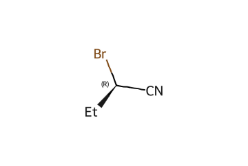 CC[C@@H](Br)C#N